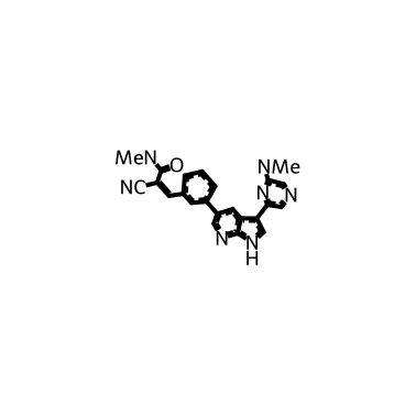 CNC(=O)C(C#N)=Cc1cccc(-c2cnc3[nH]cc(-c4cncc(NC)n4)c3c2)c1